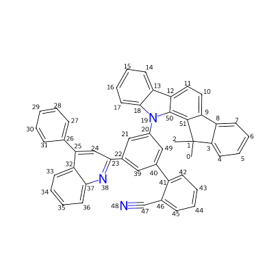 CC1(C)c2ccccc2-c2ccc3c4ccccc4n(-c4cc(-c5cc(-c6ccccc6)c6ccccc6n5)cc(-c5ccccc5C#N)c4)c3c21